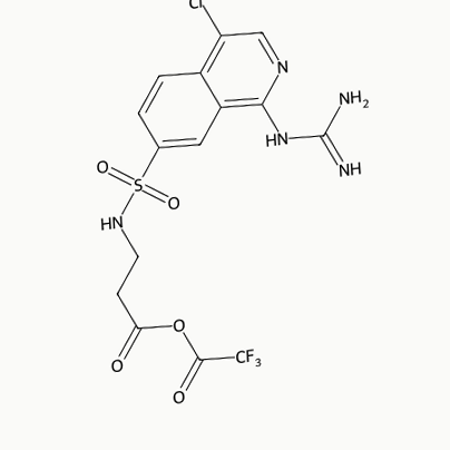 N=C(N)Nc1ncc(Cl)c2ccc(S(=O)(=O)NCCC(=O)OC(=O)C(F)(F)F)cc12